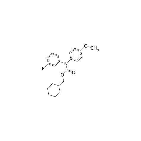 COc1ccc(N(C(=O)OCC2CCCCC2)c2cccc(F)c2)cc1